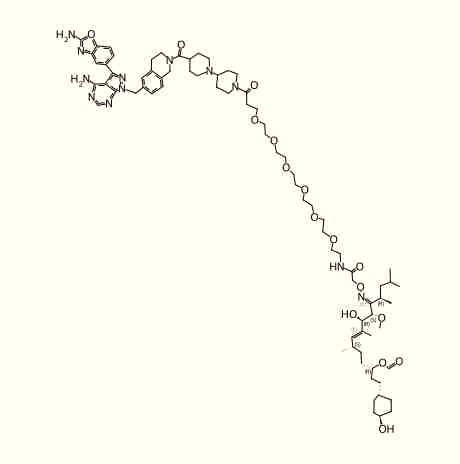 CO[C@@H](/C(=N/OCC(=O)NCCOCCOCCOCCOCCOCCOCCC(=O)N1CCC(N2CCC(C(=O)N3CCc4cc(Cn5nc(-c6ccc7oc(N)nc7c6)c6c(N)ncnc65)ccc4C3)CC2)CC1)[C@H](C)CC(C)C)[C@H](O)/C(C)=C/[C@@H](C)CC[C@@H](CC[C@H]1CC[C@H](O)CC1)OC=O